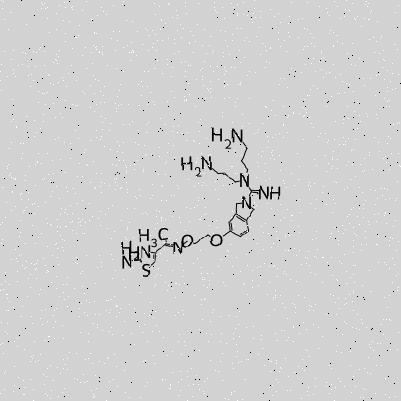 C/C(=N\OCCOc1ccc2c(c1)CN(C(=N)N(CCCN)CCCN)C2)C1=CSC(N)N1